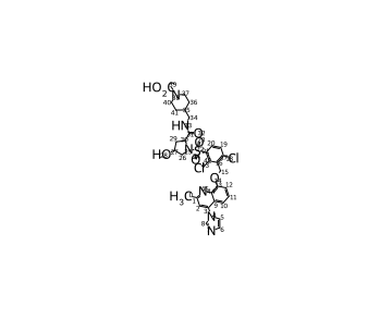 Cc1cc(-n2ccnc2)c2cccc(OCc3c(Cl)ccc(S(=O)(=O)N4CC(O)CC4C(=O)NCC4CCN(C(=O)O)CC4)c3Cl)c2n1